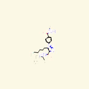 CCC(COC)NC(=O)c1nnn(-c2ccc(C(=O)NCC(F)(F)F)cc2)c1CCCCCF